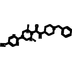 C[C@@H]1CN(c2ncc(C#N)cn2)C[C@@H](C)N1C(=O)NC1CCN(Cc2ccccc2)CC1